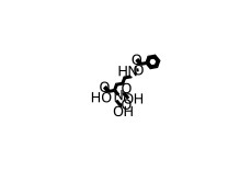 O=C(O)CN(C(=O)O)C(CCCCNOC(=O)c1ccccc1)C(=O)O